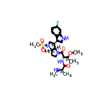 CN[C@@H](C)C(=O)N[C@H](C(=O)N1CC[C@@H]2[C@H]1[C@H](c1c[nH]c3cc(F)ccc13)CN2S(C)(=O)=O)[C@@H](C)OC